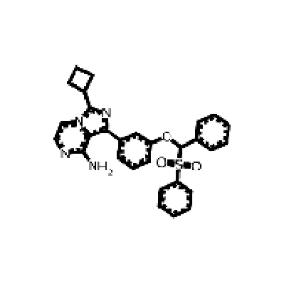 Nc1nccn2c(C3CCC3)nc(-c3cccc(OC(c4ccccc4)S(=O)(=O)c4ccccc4)c3)c12